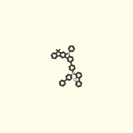 CC1(C)c2ccccc2-c2cc3c4cc(-c5ccc(N(c6ccc(-c7ccccc7)cc6)c6cccc7c6oc6ccccc67)cc5)ccc4n(-c4ccccc4)c3cc21